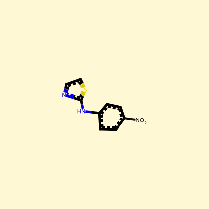 O=[N+]([O-])c1ccc(Nc2nccs2)cc1